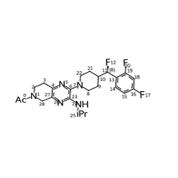 CC(=O)N1CCc2nc(N3CCC([C@@H](F)c4ccc(F)cc4F)CC3)c(NC(C)C)nc2C1